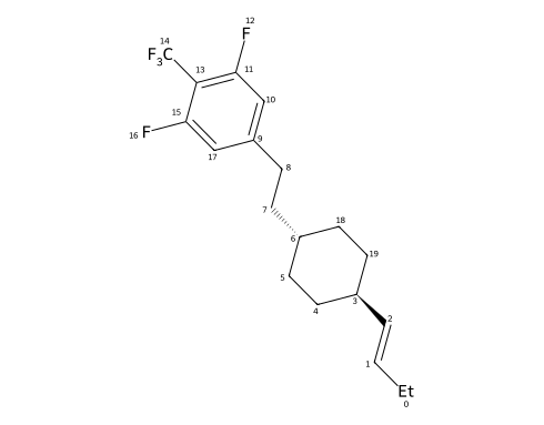 CC/C=C/[C@H]1CC[C@H](CCc2cc(F)c(C(F)(F)F)c(F)c2)CC1